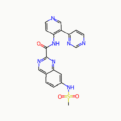 CS(=O)(=O)Nc1ccc2cnc(C(=O)Nc3ccncc3-c3ccncn3)nc2c1